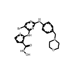 O=C(NO)c1ccsc1Nc1nc(Nc2ccc(CN3CCOCC3)cc2)ncc1Br